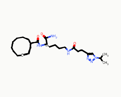 CC(C)n1cc(CCC(=O)NCCCC[C@H](NC(=O)C2CCCCCCCCCC2)C(N)=O)nn1